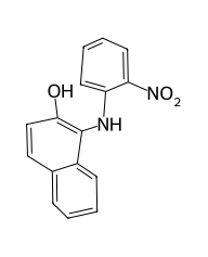 O=[N+]([O-])c1ccccc1Nc1c(O)ccc2ccccc12